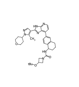 Cc1c(-c2nc3c(-c4ccc5c(c4)CCCC5NC(=O)N4CC(OC(C)(C)C)C4)ccnc3[nH]2)cnn1C1CCOCC1